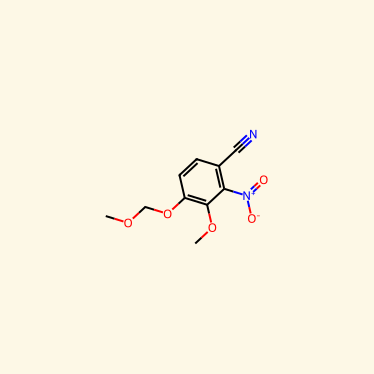 COCOc1ccc(C#N)c([N+](=O)[O-])c1OC